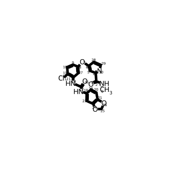 CNC(=O)c1cc(Oc2ccc(Cl)c(NC(=O)Nc3ccc4c(c3)OCO4)c2)ccn1